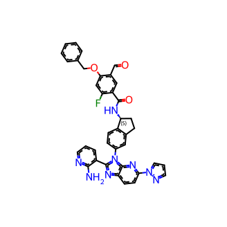 Nc1ncccc1-c1nc2ccc(-n3cccn3)nc2n1-c1ccc2c(c1)CC[C@@H]2NC(=O)c1cc(C=O)c(OCc2ccccc2)cc1F